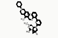 COC[C@H]1N(c2cccc(-c3cccc(C)c3OCc3ccc4c(c3C)CCN(C3CCCCC3)C4)n2)C[C@@H]2C[C@@]21C(=O)O